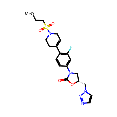 COCCS(=O)(=O)N1CC=C(c2ccc(N3C[C@H](Cn4ccnn4)OC3=O)cc2F)CC1